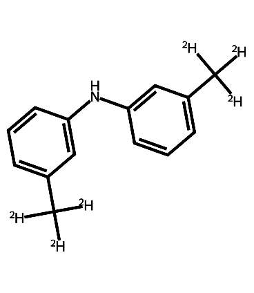 [2H]C([2H])([2H])c1cccc(Nc2cccc(C([2H])([2H])[2H])c2)c1